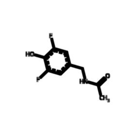 CC(=O)NCc1cc(F)c(O)c(F)c1